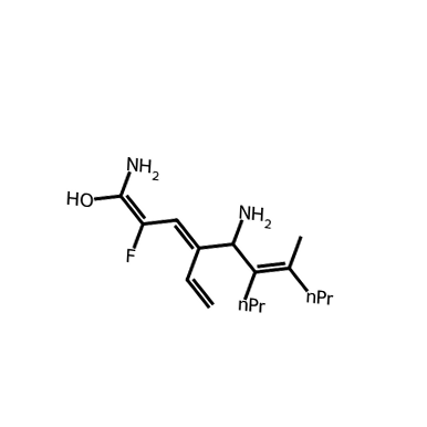 C=C/C(=C\C(F)=C(/N)O)C(N)/C(CCC)=C(\C)CCC